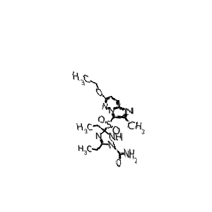 CCOc1ccc2nc(C)c(S(=O)(=O)C3(CC)N=C(CC)N(C(N)=O)N3)n2n1